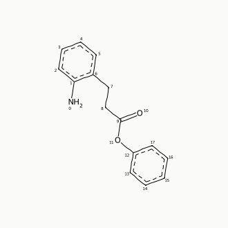 Nc1ccccc1CCC(=O)Oc1ccccc1